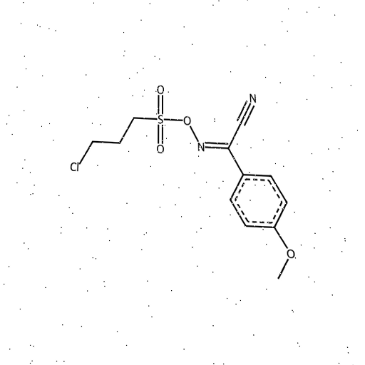 COc1ccc(C(C#N)=NOS(=O)(=O)CCCCl)cc1